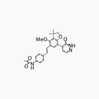 COc1c(C=Cc2ccc(NS(C)(=O)=O)cc2)cc(-c2ccn[nH]c2=O)c2c1C(C)(C)CO2